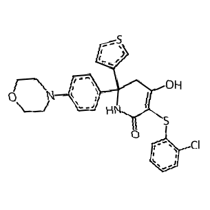 O=C1NC(c2ccc(N3CCOCC3)cc2)(c2ccsc2)CC(O)=C1Sc1ccccc1Cl